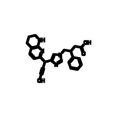 O=C(O)CC(Cn1cnc(C(C#CO)c2ccc3c(n2)NCCC3)c1)c1ccccc1